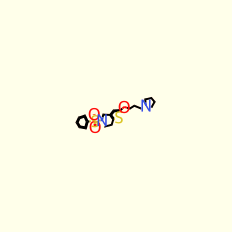 O=S(=O)(c1ccccc1)N1CCc2sc(OCCCN3CCCC3)cc2C1